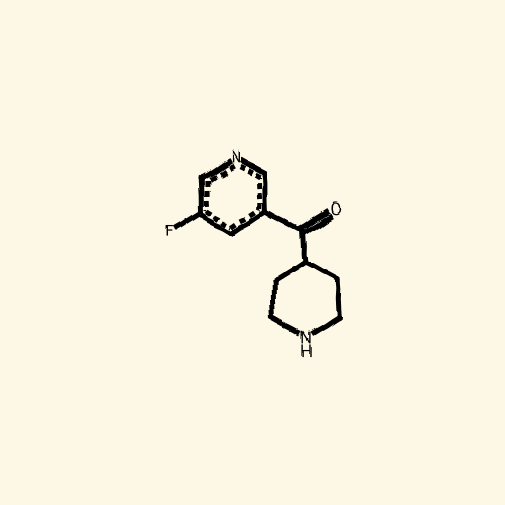 O=C(c1cncc(F)c1)C1CCNCC1